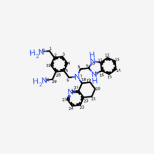 NCc1ccc(CN(CC2Nc3ccccc3N2)C2CCCc3cccnc32)c(CN)c1